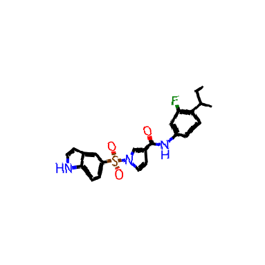 CCC(C)c1ccc(NC(=O)c2ccn(S(=O)(=O)c3ccc4[nH]ccc4c3)c2)cc1F